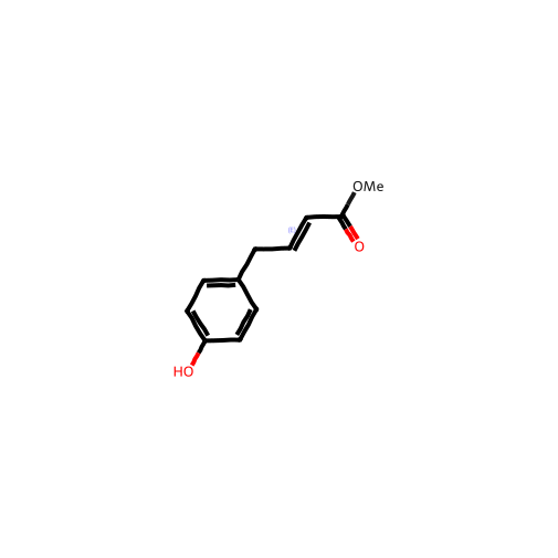 COC(=O)/C=C/Cc1ccc(O)cc1